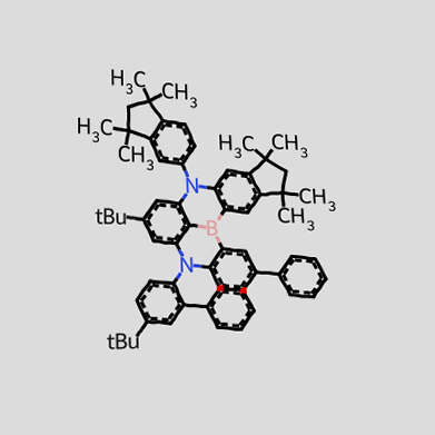 CC(C)(C)c1ccc(N2c3ccc(-c4ccccc4)cc3B3c4cc5c(cc4N(c4ccc6c(c4)C(C)(C)CC6(C)C)c4cc(C(C)(C)C)cc2c43)C(C)(C)CC5(C)C)c(-c2ccccc2)c1